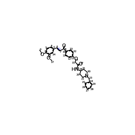 COc1ccc(/C=C/C(=O)c2ccc(OCC(=O)NC3CCN(Cc4ccccc4)CC3)cc2)cc1OC